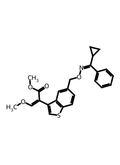 COC=C(C(=O)OC)c1csc2ccc(CON=C(c3ccccc3)C3CC3)cc12